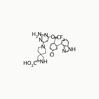 Nc1nc(O[C@H](c2ccc(Cl)cc2-c2cccc3[nH]cnc23)C(F)(F)F)cc(N2CCC3(CC2)CN[C@H](C(=O)O)C3)n1